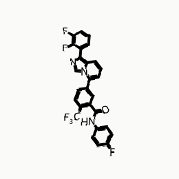 O=C(Nc1ccc(F)cc1)c1cc(-c2cccc3c(-c4cccc(F)c4F)ncn23)ccc1C(F)(F)F